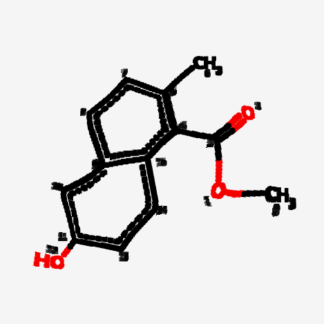 COC(=O)c1c(C)ccc2cc(O)ccc12